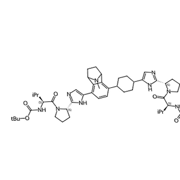 CC(C)[C@H](NC(=O)OC(C)(C)C)C(=O)N1CCC[C@H]1c1ncc(-c2ccc(C3CCC(c4cnc([C@@H]5CCCN5C(=O)[C@@H](NC(=O)OC(C)(C)C)C(C)C)[nH]4)CC3)c3c2C2CCC3N2C)[nH]1